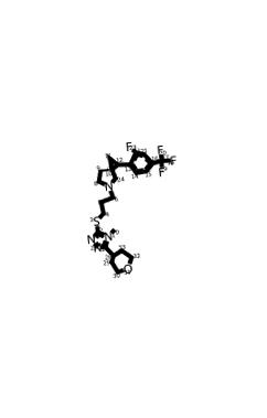 Cn1c(SCCCN2CC[C@]3(CC3c3ccc(C(F)(F)F)cc3F)C2)nnc1C1CCOCC1